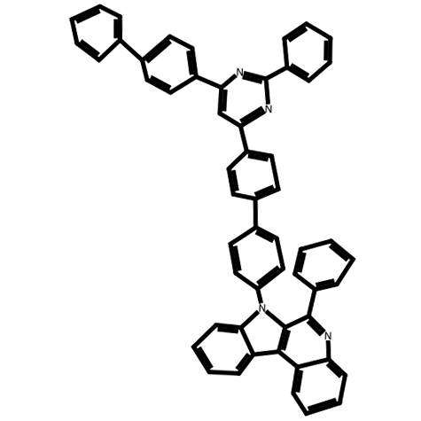 c1ccc(-c2ccc(-c3cc(-c4ccc(-c5ccc(-n6c7ccccc7c7c8ccccc8nc(-c8ccccc8)c76)cc5)cc4)nc(-c4ccccc4)n3)cc2)cc1